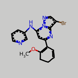 COC1=C(c2cc(Nc3cccnc3)n3ncc(Br)c3n2)C=CCC1